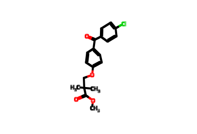 COC(=O)C(C)(C)COc1ccc(C(=O)c2ccc(Cl)cc2)cc1